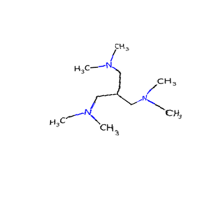 CN(C)CC(CN(C)C)CN(C)C